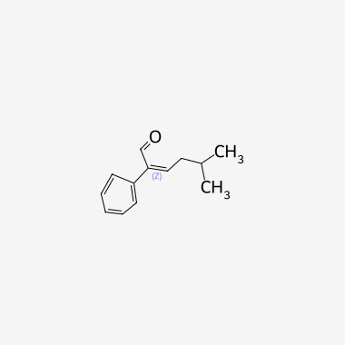 CC(C)C/C=C(\C=O)c1ccccc1